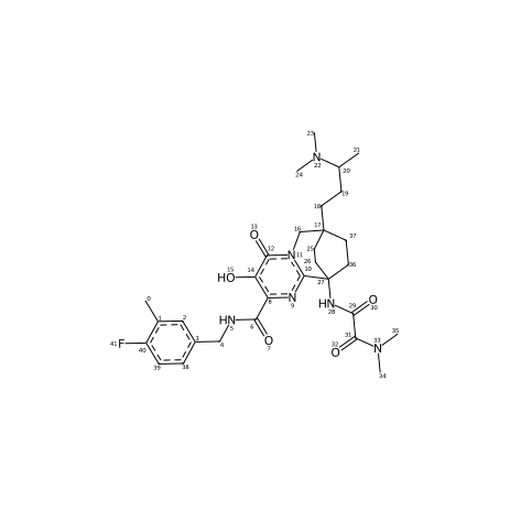 Cc1cc(CNC(=O)c2nc3n(c(=O)c2O)CC2(CCC(C)N(C)C)CCC3(NC(=O)C(=O)N(C)C)CC2)ccc1F